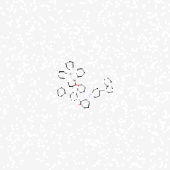 c1ccc(-c2cc3oc4cccc(N(c5ccccc5)c5ccc(-c6cccc7ccccc67)cc5)c4c3cc2-c2ccc3c(c2)-c2ccccc2C3(c2ccccc2)c2ccccc2)cc1